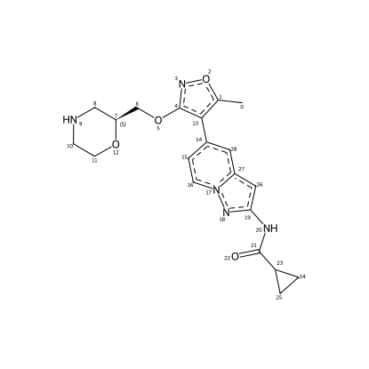 Cc1onc(OC[C@@H]2CNCCO2)c1-c1ccn2nc(NC(=O)C3CC3)cc2c1